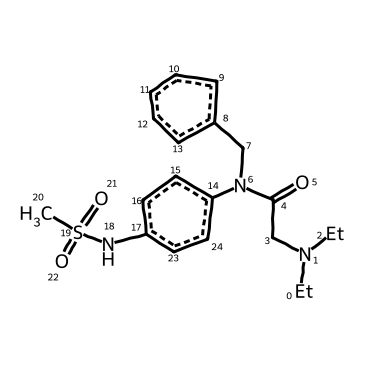 CCN(CC)CC(=O)N(Cc1ccccc1)c1ccc(NS(C)(=O)=O)cc1